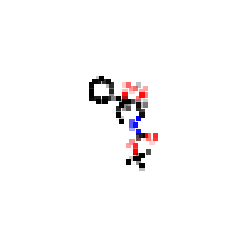 CO[C@H]1CN(C(=O)OC(C)(C)C)CC[C@]1(OC)c1ccccc1